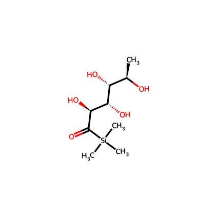 C[C@@H](O)[C@@H](O)[C@H](O)[C@H](O)C(=O)[Si](C)(C)C